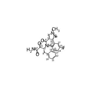 Cn1cc(C(=O)N[C@@H](Cc2ccccc2)C(=O)C(N)=O)c(-c2cccc(F)c2)n1